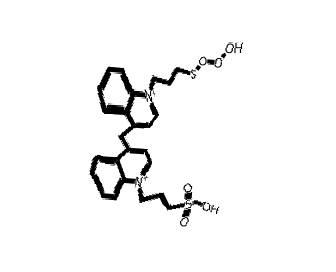 O=S(=O)(O)CCC[n+]1ccc(Cc2cc[n+](CCCSOOO)c3ccccc23)c2ccccc21